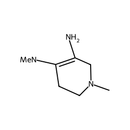 CNC1=C(N)CN(C)CC1